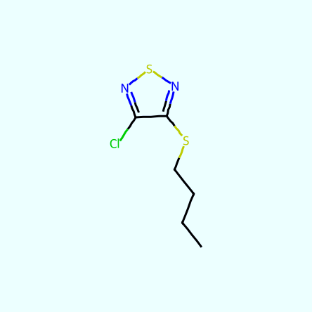 CCCCSc1nsnc1Cl